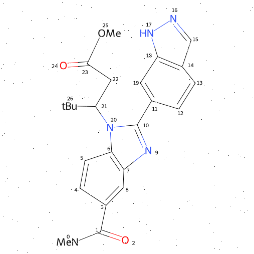 CNC(=O)c1ccc2c(c1)nc(-c1ccc3cn[nH]c3c1)n2C(CC(=O)OC)C(C)(C)C